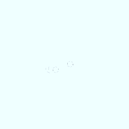 CCC/C(F)=C\c1ccc(CCc2ccc(C3CCC(F)CC3)cc2)cc1